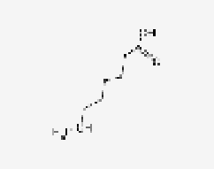 C.O=C(O)CCCCCO